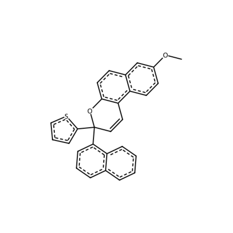 COc1ccc2c3c(ccc2c1)OC(c1cccs1)(c1cccc2ccccc12)C=C3